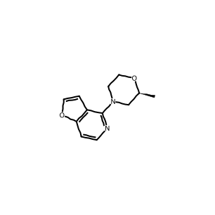 C[C@H]1CN(c2nccc3occc23)CCO1